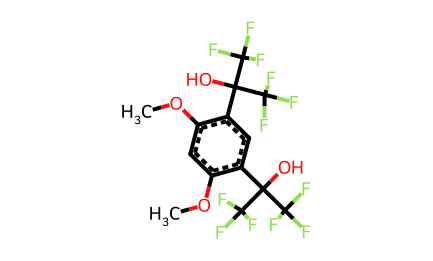 COc1cc(OC)c(C(O)(C(F)(F)F)C(F)(F)F)cc1C(O)(C(F)(F)F)C(F)(F)F